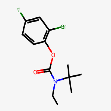 CCN(C(=O)Oc1ccc(F)cc1Br)C(C)(C)C